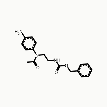 CC(=O)N(CCNC(=O)OCc1ccccc1)c1ccc(N)cc1